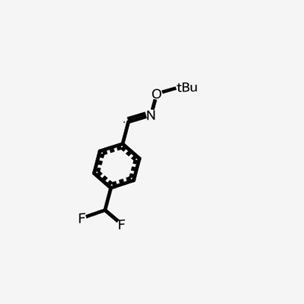 CC(C)(C)O/N=[C]/c1ccc(C(F)F)cc1